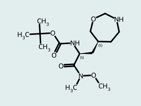 CON(C)C(=O)[C@H](C[C@@H]1CCNCOC1)NC(=O)OC(C)(C)C